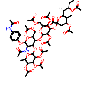 CC[C@@H](OC(C)=O)[C@@H](C)C1OC(OC2C(OC(C)=O)C(COC(C)=O)OC(OC3C(COC(C)=O)OC(Oc4ccc(NC(C)=O)cc4)C(NC(C)=O)C3OC3OC(C)C(OC(C)=O)C(OC(C)=O)C3OC(C)=O)C2OC(C)=O)(C(=O)OC)CC(OC(C)=O)C1C